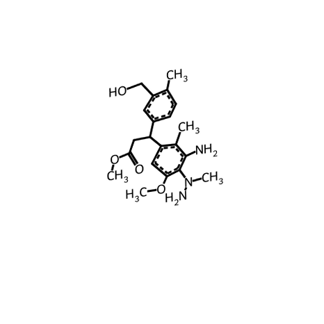 COC(=O)CC(c1ccc(C)c(CO)c1)c1cc(OC)c(N(C)N)c(N)c1C